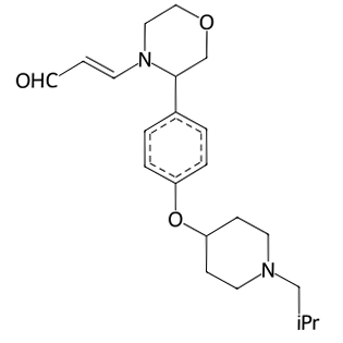 CC(C)CN1CCC(Oc2ccc(C3COCCN3C=CC=O)cc2)CC1